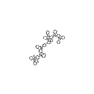 c1ccc(N2c3ccccc3B3c4cc(-c5ccc(-n6c7ccccc7c7cc8c(cc76)c6ccccc6n8-c6cc7c8c(c6)Sc6ccccc6B8c6ccccc6S7)cc5)ccc4Oc4cc(-n5c6ccccc6c6cc7c8ccccc8n(-c8ccccc8)c7cc65)cc2c43)cc1